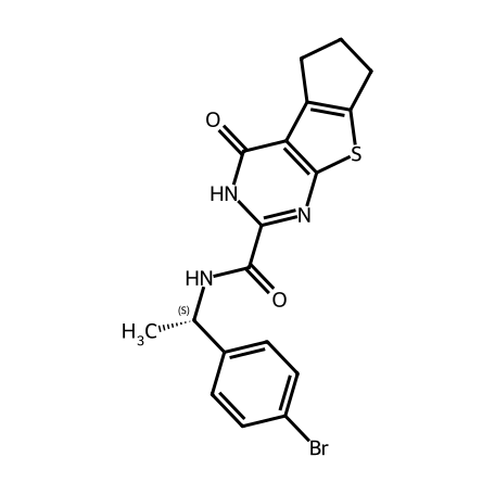 C[C@H](NC(=O)c1nc2sc3c(c2c(=O)[nH]1)CCC3)c1ccc(Br)cc1